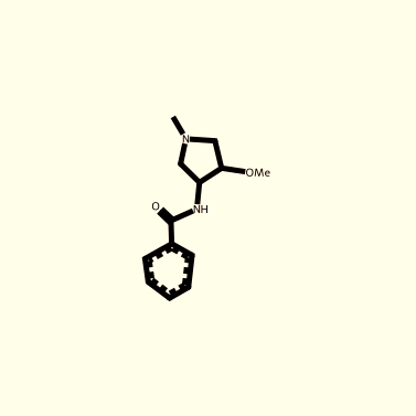 COC1CN(C)CC1NC(=O)c1ccccc1